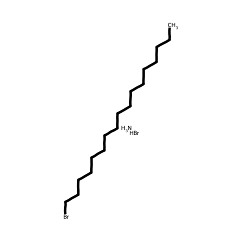 Br.CCCCCCCCCCCCCCCCCBr.N